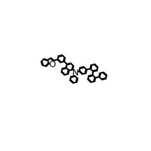 c1ccc(-c2ccccc2-c2ccccc2-c2ccc(N(c3ccccc3)c3ccc(-c4cccc(-c5cc6ccccc6o5)c4)c4ccccc34)cc2)cc1